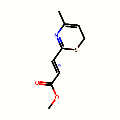 COC(=O)/C=C/C1=NC(C)=CCS1